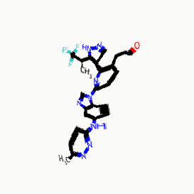 Cc1ccc(Nc2ccc3c(c2)ncn3-c2ccc(CC=O)c(-c3cn[nH]c3[C@H](C)C(F)(F)F)n2)nn1